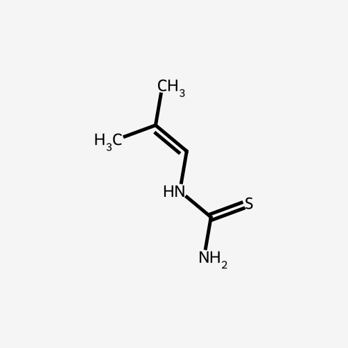 CC(C)=CNC(N)=S